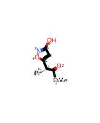 COC(=O)[C@@H](c1cc(O)no1)C(C)C